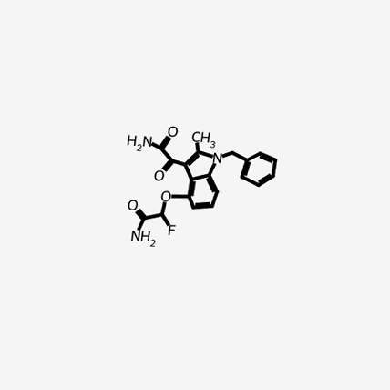 Cc1c(C(=O)C(N)=O)c2c(OC(F)C(N)=O)cccc2n1Cc1ccccc1